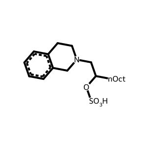 CCCCCCCCC(CN1CCc2ccccc2C1)OS(=O)(=O)O